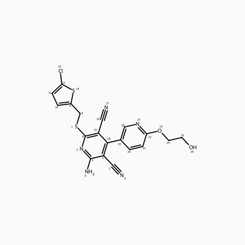 N#Cc1c(N)nc(SCc2ccc(Cl)s2)c(C#N)c1-c1ccc(OCCO)nc1